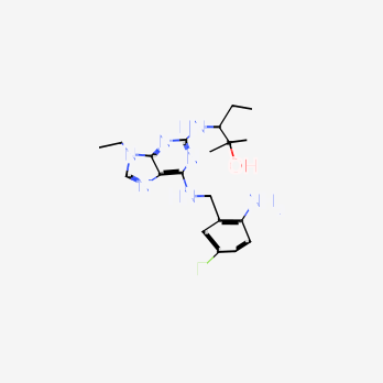 CCC(Nc1nc(NCc2cc(F)ccc2N)c2ncn(CC)c2n1)C(C)(C)O